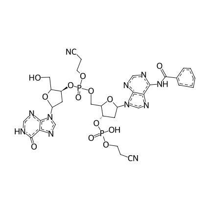 N#CCCOP(=O)(O)O[C@H]1CC(n2cnc3c(NC(=O)c4ccccc4)ncnc32)OC1COP(=O)(OCCC#N)O[C@H]1CC(n2cnc3c(=O)[nH]cnc32)OC1CO